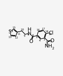 NC(=O)c1cc(C(=O)NCCc2ccsc2)ccc1Cl